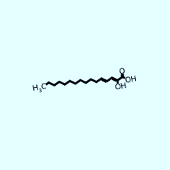 CCCCCCCCCCCC=CC=C(O)C(=O)O